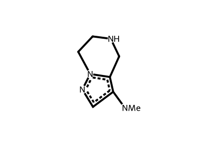 CNc1cnn2c1CNCC2